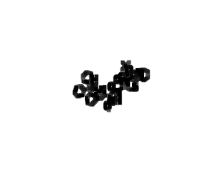 CON=C(C(=O)NC1C(=O)N2C1CSC(c1ccccn1)C2(O)C(=O)OC(C)(C)C)c1csc(NC(c2ccccc2)(c2ccccc2)c2ccccc2)n1